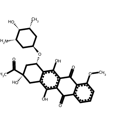 COc1cccc2c1C(=O)c1c(O)c3c(c(O)c1C2=O)C[C@@](O)(C(C)=O)C[C@@H]3O[C@@H]1C[C@@H](C)[C@@H](O)[C@@H](N)C1